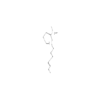 CCCCCCCN1CCCC(N(C)C)C1